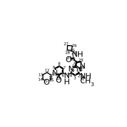 CNc1cc(Nc2cccn([C@H]3CCCOC3)c2=O)nc2c(C(=O)NC3CCC3)cnn12